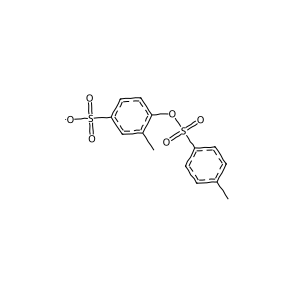 Cc1ccc(S(=O)(=O)Oc2ccc(S([O])(=O)=O)cc2C)cc1